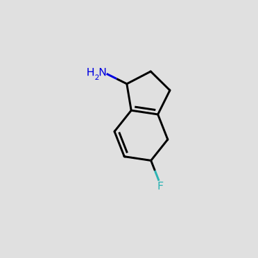 NC1CCC2=C1C=CC(F)C2